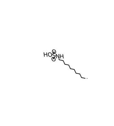 [CH2]CCCCCCCCCNS(=O)(=O)O